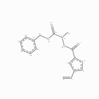 C=Cc1csc(C(=O)ON(C)C(=O)OCc2ccccc2)c1